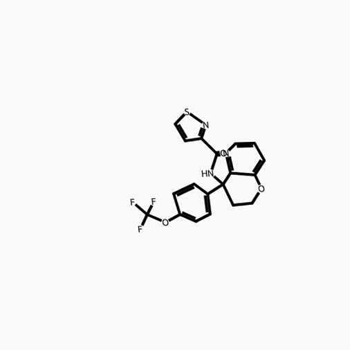 O=C(NC1(c2ccc(OC(F)(F)F)cc2)CCOc2cccnc21)c1ccsn1